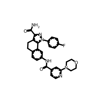 NC(=O)c1nn(-c2ccc(F)cc2)c2c1CCc1ccc(NC(=O)c3ccnc(N4CCOCC4)c3)cc1-2